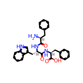 N[C@@H](Cc1ccccc1)C(=O)N[C@@H](Cc1c[nH]c2ccccc12)C(=O)N[C@@H](Cc1ccccc1)C(=O)O